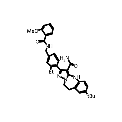 CCc1cc(CNC(=O)c2ccccc2OC)ccc1-c1nn2c(c1C(N)=O)Nc1ccc(C(C)(C)C)cc1CC2